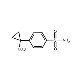 NS(=O)(=O)c1ccc(C2(C(=O)O)CC2)cc1